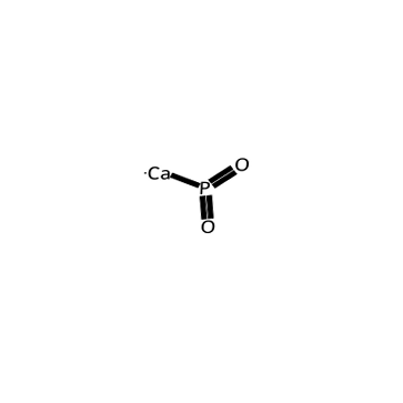 O=[P](=O)[Ca]